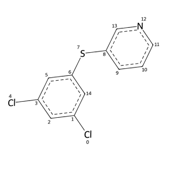 Clc1cc(Cl)cc(Sc2cccnc2)c1